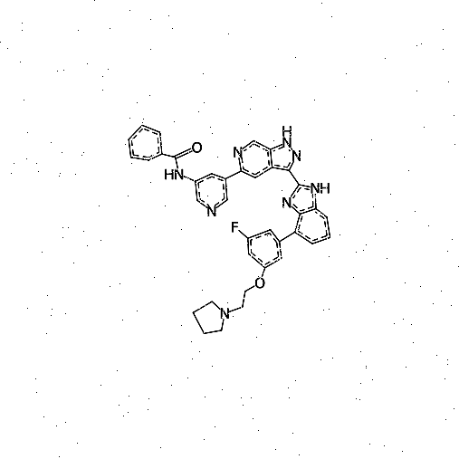 O=C(Nc1cncc(-c2cc3c(-c4nc5c(-c6cc(F)cc(OCCN7CCCC7)c6)cccc5[nH]4)n[nH]c3cn2)c1)c1ccccc1